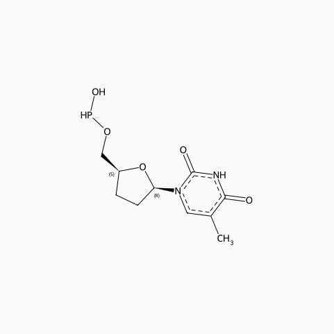 Cc1cn([C@H]2CC[C@@H](COPO)O2)c(=O)[nH]c1=O